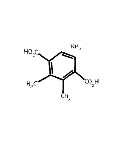 Cc1c(C(=O)O)ccc(C(=O)O)c1C.N